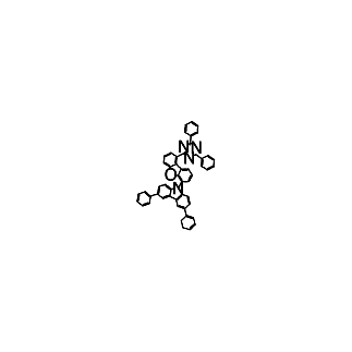 C1=CCCC(c2ccc3c(c2)c2cc(-c4ccccc4)ccc2n3-c2cccc3c2oc2cccc(-c4nc(-c5ccccc5)nc(-c5ccccc5)n4)c23)=C1